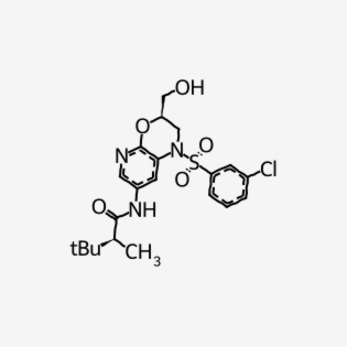 C[C@H](C(=O)Nc1cnc2c(c1)N(S(=O)(=O)c1cccc(Cl)c1)C[C@H](CO)O2)C(C)(C)C